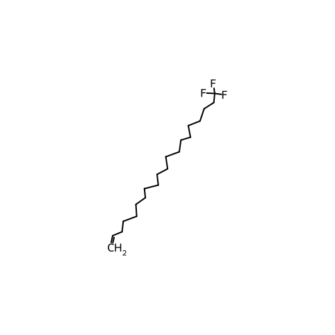 C=CCCCCCCCCCCCCCCCCCC(F)(F)F